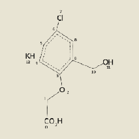 O=C(O)COc1ccc(Cl)cc1CO.[KH]